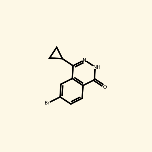 O=c1[nH]nc(C2CC2)c2cc(Br)ccc12